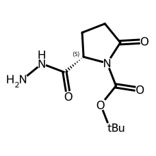 CC(C)(C)OC(=O)N1C(=O)CC[C@H]1C(=O)NN